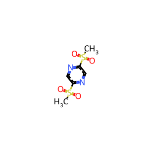 CS(=O)(=O)c1cnc(S(C)(=O)=O)cn1